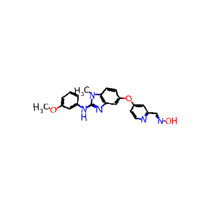 COc1cccc(Nc2nc3cc(Oc4ccnc(C=NO)c4)ccc3n2C)c1